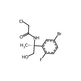 C[C@](CO)(NC(=O)CCl)c1cc(Br)ccc1F